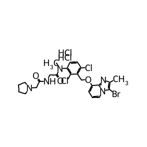 Cc1nc2c(OCc3c(Cl)ccc(N(C)C(=O)CNC(=O)CN4CCCC4)c3Cl)cccn2c1Br.Cl.Cl